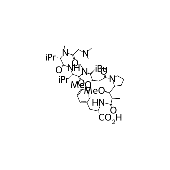 CC[C@H](C)[C@@H]([C@@H](CC(=O)N1CCC[C@H]1[C@H](OC)[C@@H](C)C(=O)N[C@@H](Cc1ccccc1)C(=O)O)OC)N(C)C(=O)[C@@H](NC(=O)[C@H](C(C)C)N(C)C(=O)CN(C)C)C(C)C